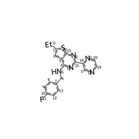 CCc1cc2c(NCc3ccc(F)cc3)nc(-c3cnccn3)nc2s1